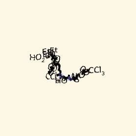 CC[Si](CC)(CC)O[C@@H](CC(=O)O)C(C)(C)C(=O)[C@H](C)[C@@H](OC(=O)OCC(Cl)(Cl)Cl)[C@@H](C)CCC/C(C)=C\C[C@H](O)/C(C)=C/c1csc(COC(=O)OCC(Cl)(Cl)Cl)n1